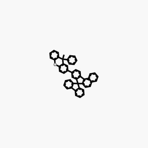 CC1(c2ccccc2)c2ccccc2Oc2ccc(-c3ccc4c(c3)C3(c5ccccc5-c5ccccc53)c3ccc5ccccc5c3-4)cc21